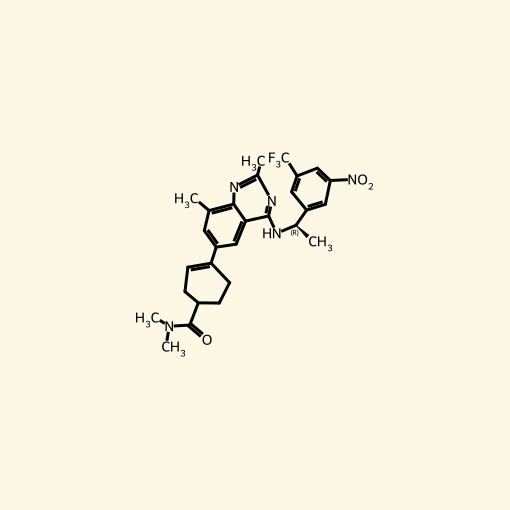 Cc1nc(N[C@H](C)c2cc([N+](=O)[O-])cc(C(F)(F)F)c2)c2cc(C3=CCC(C(=O)N(C)C)CC3)cc(C)c2n1